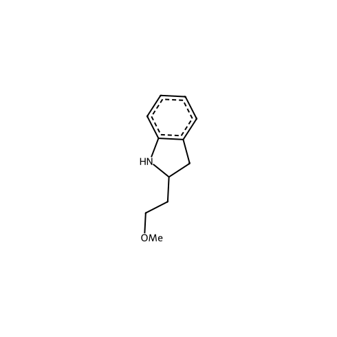 COCCC1Cc2ccccc2N1